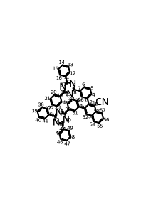 N#Cc1c(-c2cccc(-c3nc(-c4ccccc4)nc(-c4ccccc4)n3)c2)c(-c2cccc(-c3nc(-c4ccccc4)nc(-c4ccccc4)n3)c2)cc2ccccc12